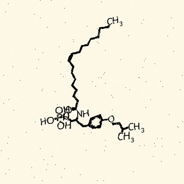 CCCCCCCC/C=C\CCCCCCCC(=O)NC(CO[PH](O)(O)O)Cc1ccc(OCCC(C)C)cc1